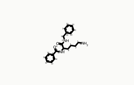 NCCCCC(NC(=O)c1ccccc1)C(=O)NCc1ccccc1